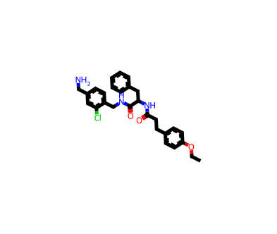 CCOc1ccc(CCC(=O)NC(Cc2ccccc2)C(=O)NCc2ccc(CN)cc2Cl)cc1